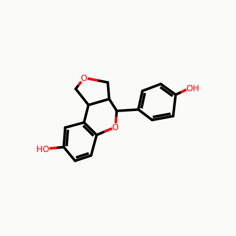 Oc1ccc(C2Oc3ccc(O)cc3C3COCC32)cc1